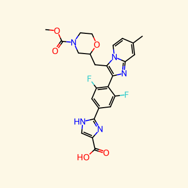 COC(=O)N1CCOC(Cc2c(-c3c(F)cc(-c4nc(C(=O)O)c[nH]4)cc3F)nc3cc(C)ccn23)C1